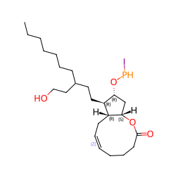 CCCCCCCC(CCO)CC[C@@H]1[C@H]2C/C=C\CCCC(=O)O[C@H]2C[C@H]1OPI